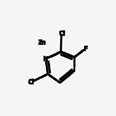 Fc1ccc(Cl)nc1Cl.[Zn]